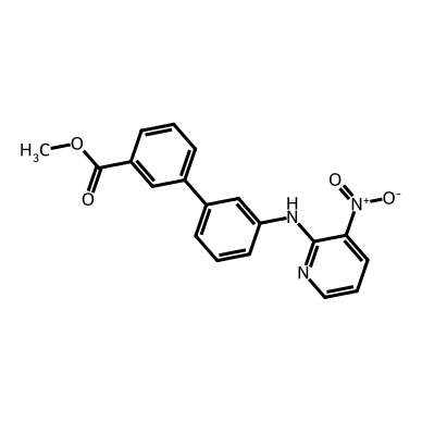 COC(=O)c1cccc(-c2cccc(Nc3ncccc3[N+](=O)[O-])c2)c1